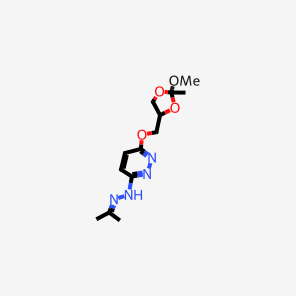 COC1(C)OCC(COc2ccc(NN=C(C)C)nn2)O1